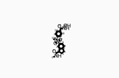 CNC(=O)C1CCc2ccc(S(=O)(=O)N(C)c3ccc(C(=O)NO)cc3)cc21